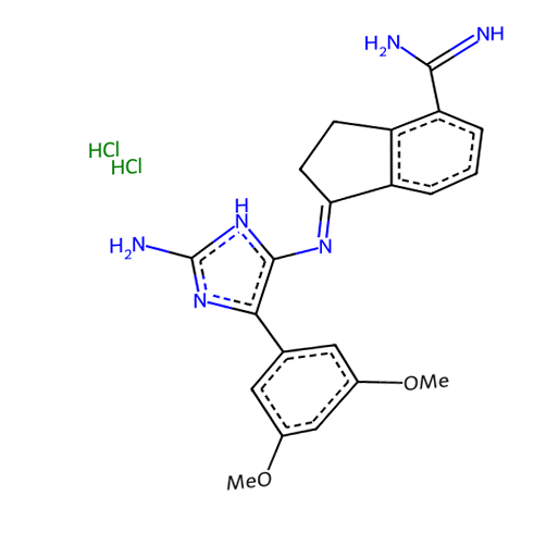 COc1cc(OC)cc(-c2nc(N)[nH]c2N=C2CCc3c(C(=N)N)cccc32)c1.Cl.Cl